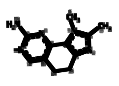 Cc1nc2c(n1C)-c1nc(N)ncc1CC2